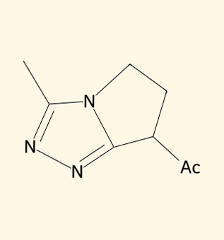 CC(=O)C1CCn2c(C)nnc21